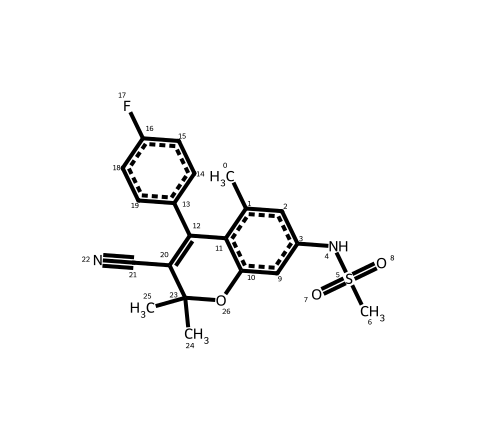 Cc1cc(NS(C)(=O)=O)cc2c1C(c1ccc(F)cc1)=C(C#N)C(C)(C)O2